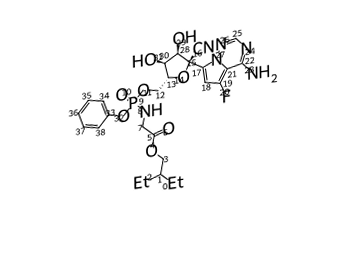 CCC(CC)COC(=O)CNP(=O)(OC[C@H]1O[C@@](C#N)(c2cc(F)c3c(N)ncnn23)[C@H](O)[C@@H]1O)Oc1ccccc1